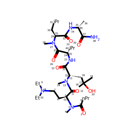 CCCC(=O)N(C)[C@@H](CCN(CC)CC)C(=O)N(C)[C@@H](CC(C)(C)O)C(=O)N[C@H](C(=O)N(C)[C@@H](CC(C)C)C(=O)N[C@H](C)C(N)=O)C(C)C